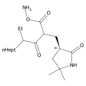 CCCCCCCC(CC)C(=O)C(C[C@@H]1CC(C)(C)NC1=O)C(=O)ON